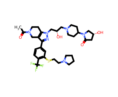 CC(=O)N1CCc2c(c(-c3ccc(C(F)(F)F)c(SCCN4CCCC4)c3)nn2C[C@@H](O)CN2CCC(N3C[C@H](O)CC3=O)CC2)C1